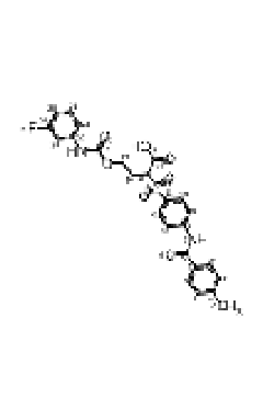 Cc1ccc(C(=O)Nc2ccc(S(=O)(=O)C(CCOC(=O)Nc3cccc(F)c3)C(=O)O)cc2)cc1